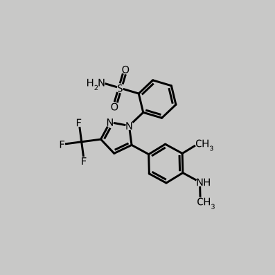 CNc1ccc(-c2cc(C(F)(F)F)nn2-c2ccccc2S(N)(=O)=O)cc1C